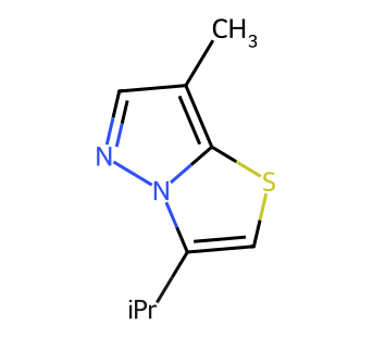 Cc1cnn2c(C(C)C)csc12